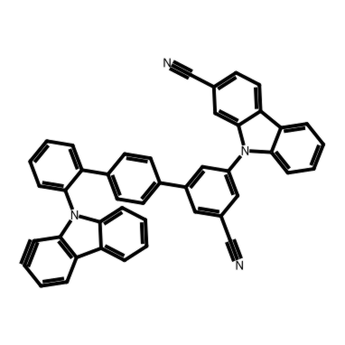 N#Cc1cc(-c2ccc(-c3ccccc3-n3c4c#cccc4c4ccccc43)cc2)cc(-n2c3ccccc3c3ccc(C#N)cc32)c1